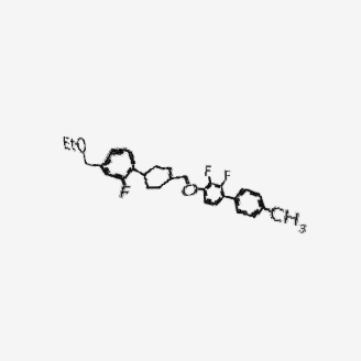 CCOCc1ccc(C2CCC(COc3ccc(-c4ccc(C)cc4)c(F)c3F)CC2)c(F)c1